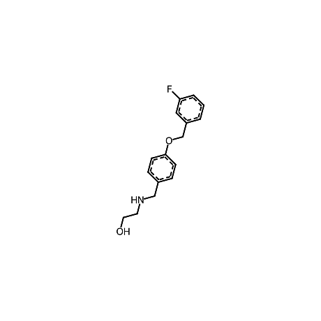 OCCNCc1ccc(OCc2cccc(F)c2)cc1